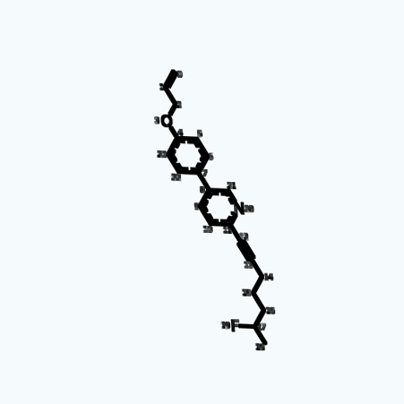 C=CCOc1ccc(-c2ccc(C#CCCCC(C)F)nc2)cc1